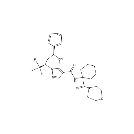 O=C(NC1(C(=O)N2CCOCC2)CCCCC1)c1cnn2c1N[C@H](c1ccccc1)C[C@@H]2C(F)(F)F